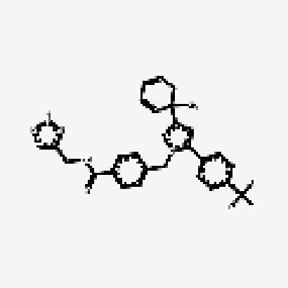 CC1(c2cc(-c3ccc(C(F)(F)F)cc3)n(Cc3ccc(C(=O)NCc4nn[nH]n4)cc3)n2)C=CC=CC1